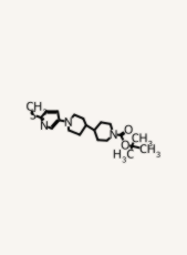 CSc1ccc(N2CCC(C3CCN(C(=O)OC(C)(C)C)CC3)CC2)cn1